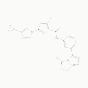 C[C@@H]1CCc2nnc(-c3cccc(NC(=O)c4cc(-n5cnc(C6CC6)c5)sc4Cl)n3)n21